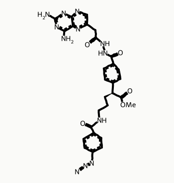 COC(=O)[C@@H](CCCNC(=O)c1ccc(N=[N+]=[N-])cc1)c1ccc(C(=O)NNC(=O)Cc2cnc3nc(N)nc(N)c3n2)cc1